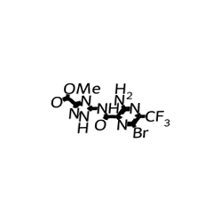 COC(=O)c1n[nH]c(NC(=O)c2nc(Br)c(C(F)(F)F)nc2N)n1